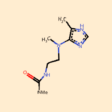 CNC(=O)NCCN(C)c1nc[nH]c1C